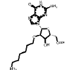 COC[C@H]1O[C@@H](n2cnc3c(=O)[nH]c(N)nc32)C(OCCCCCCN)C1O